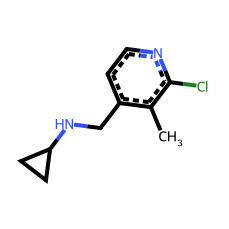 Cc1c(CNC2CC2)ccnc1Cl